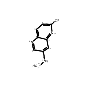 O=C(O)Nc1cnc2ccc(Cl)nc2c1